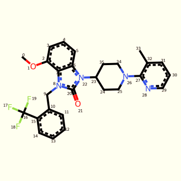 COc1cccc2c1n(Cc1ccccc1C(F)(F)F)c(=O)n2C1CCN(c2ncccc2C)CC1